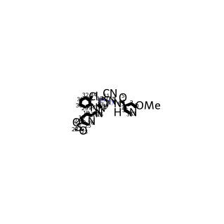 COc1cc(C(=O)N/N=C(C)/C(C#N)=C\c2nnc(-c3ccc(S(C)(=O)=O)cn3)n2-c2ccccc2Cl)ccn1